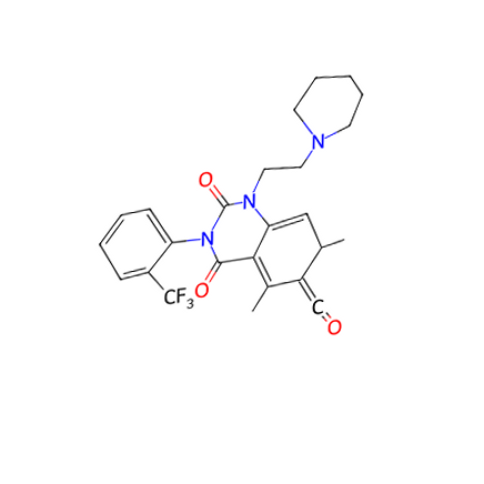 CC1=c2c(n(CCN3CCCCC3)c(=O)n(-c3ccccc3C(F)(F)F)c2=O)=CC(C)C1=C=O